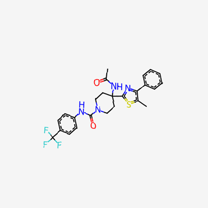 CC(=O)NC1(c2nc(-c3ccccc3)c(C)s2)CCN(C(=O)Nc2ccc(C(F)(F)F)cc2)CC1